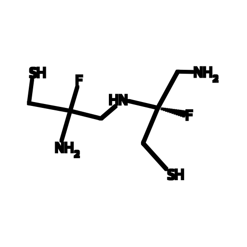 NC[C@@](F)(CS)NCC(N)(F)CS